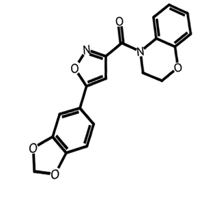 O=C(c1cc(-c2ccc3c(c2)OCO3)on1)N1CCOc2ccccc21